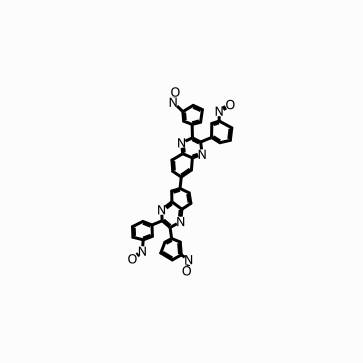 O=Nc1cccc(-c2nc3ccc(-c4ccc5nc(-c6cccc(N=O)c6)c(-c6cccc(N=O)c6)nc5c4)cc3nc2-c2cccc(N=O)c2)c1